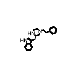 c1ccc(CCN2CCN[C@H](Cc3c[nH]c4ccccc34)C2)cc1